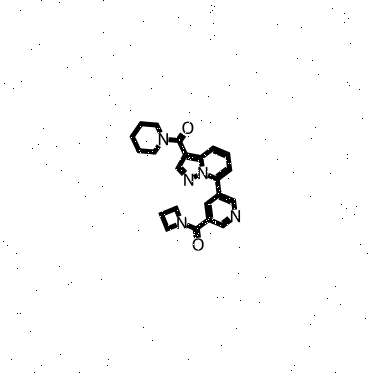 O=C(c1cncc(-c2cccc3c(C(=O)N4CCCCC4)cnn23)c1)N1CCC1